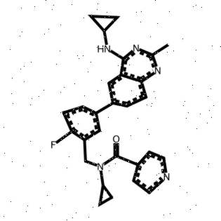 Cc1nc(NC2CC2)c2cc(-c3ccc(F)c(CN(C(=O)c4ccncc4)C4CC4)c3)ccc2n1